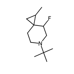 CC1CC12CCN(C(C)(C)C)CC2F